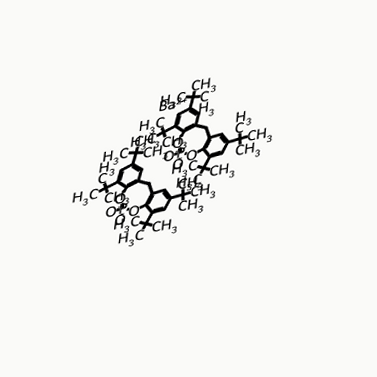 CC(C)(C)c1cc2c(c(C(C)(C)C)c1)OP(=O)([O-])Oc1c(cc(C(C)(C)C)cc1C(C)(C)C)C2.CC(C)(C)c1cc2c(c(C(C)(C)C)c1)OP(=O)([O-])Oc1c(cc(C(C)(C)C)cc1C(C)(C)C)C2.[Ba+2]